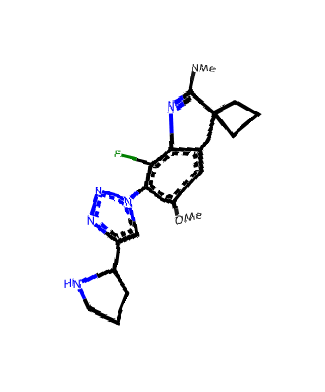 CNC1=Nc2c(cc(OC)c(-n3cc(C4CCCN4)nn3)c2F)C12CCC2